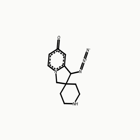 [N-]=[N+]=NC1c2cc(=O)ccn2CC12CCNCC2